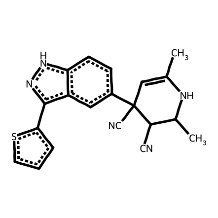 CC1=CC(C#N)(c2ccc3[nH]nc(-c4cccs4)c3c2)C(C#N)C(C)N1